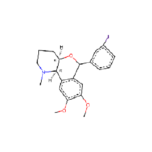 COc1cc2c(cc1OC)[C@@H]1[C@@H](CCCN1C)OC2c1cccc(I)c1